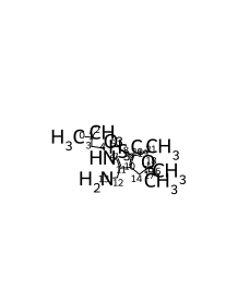 CC(C)CC(=O)Nc1sc2c(c1CN)CC(C)(C)OC2(C)C